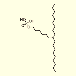 CCCCCCCCCN(CCCCCCCCC)CCCCCCOP(=O)(O)O